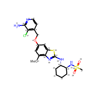 COc1cc(OCc2ccnc(N)c2Cl)cc2sc(N[C@H]3CCCC[C@@H]3NS(C)(=O)=O)nc12